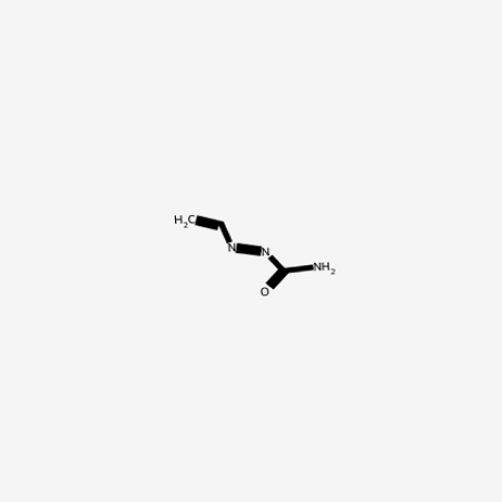 C=CN=NC(N)=O